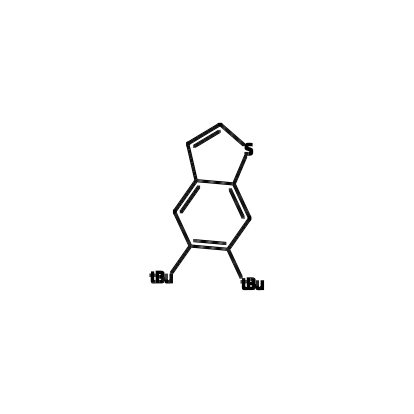 CC(C)(C)c1cc2ccsc2cc1C(C)(C)C